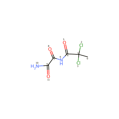 CC(Cl)(Cl)C(=O)NC(=O)C(N)=O